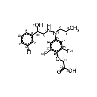 CCCN(NC[C@H](O)c1cccc(Cl)c1)c1cc(F)c(OCC(=O)O)c(F)c1